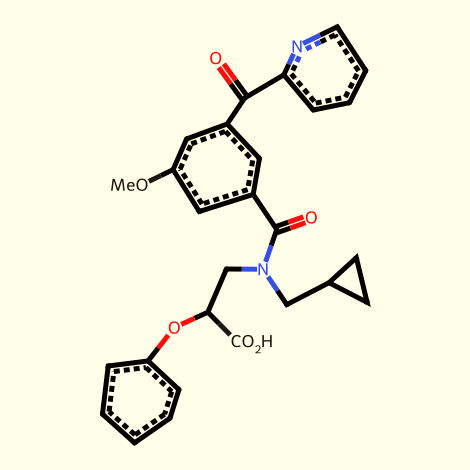 COc1cc(C(=O)c2ccccn2)cc(C(=O)N(CC2CC2)CC(Oc2ccccc2)C(=O)O)c1